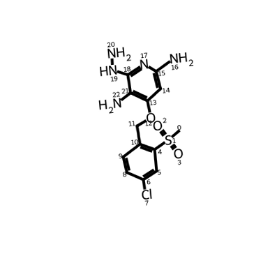 CS(=O)(=O)c1cc(Cl)ccc1COc1cc(N)nc(NN)c1N